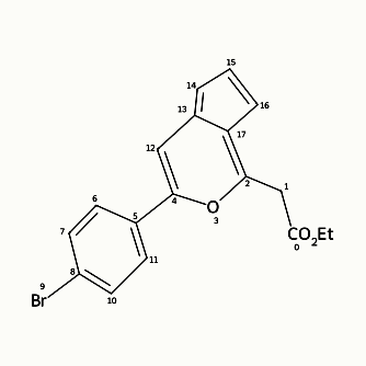 CCOC(=O)Cc1oc(-c2ccc(Br)cc2)cc2cccc1-2